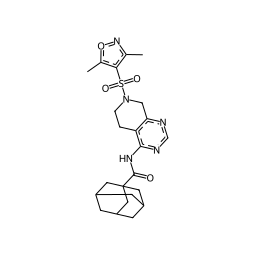 Cc1noc(C)c1S(=O)(=O)N1CCc2c(ncnc2NC(=O)C23CC4CC(CC(C4)C2)C3)C1